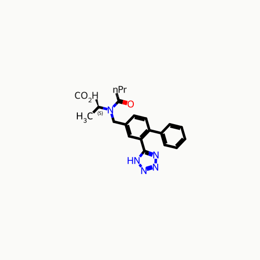 CCCC(=O)N(Cc1ccc(-c2ccccc2)c(-c2nnn[nH]2)c1)[C@@H](C)C(=O)O